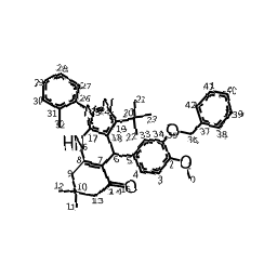 COc1ccc(C2C3=C(CC(C)(C)CC3=O)Nc3c2c(C(C)(C)C)nn3-c2ccccc2C)cc1OCc1ccccc1